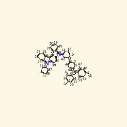 Cc1cc(C)c(B(c2ccc(-c3cccc(-n4c5ccccc5c5c6c7ccccc7n(-c7ccccc7)c6ccc54)c3)cc2)c2c(C)cc(C)cc2C)c(C)c1